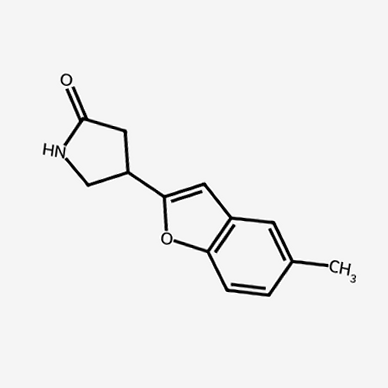 Cc1ccc2oc(C3CNC(=O)C3)cc2c1